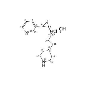 Cl.Cl.c1ccc([C@@H]2C[C@H]2NCCN2CCNCC2)cc1